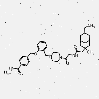 CCC1CC2CC(C1)CC(C)(CC(=O)NCC(=O)N1CCN(Cc3ccccc3OCc3ccc(C(=O)NC)cc3)CC1)C2